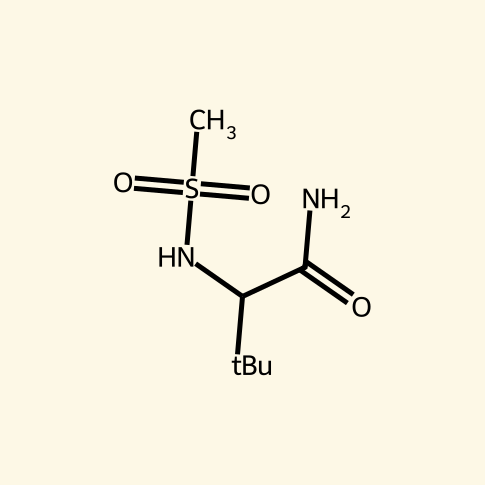 CC(C)(C)C(NS(C)(=O)=O)C(N)=O